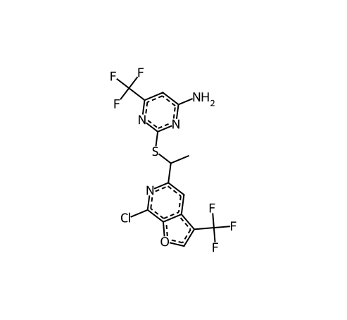 CC(Sc1nc(N)cc(C(F)(F)F)n1)c1cc2c(C(F)(F)F)coc2c(Cl)n1